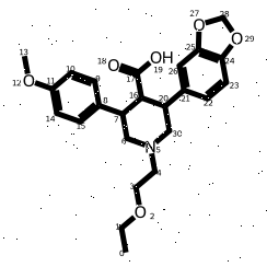 CCOCCN1CC(c2ccc(OC)cc2)C(C(=O)O)C(c2ccc3c(c2)OCO3)C1